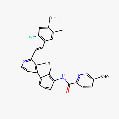 Cc1cc(C=Cc2nccc(-c3cccc(NC(=O)c4ccc(C=O)cn4)c3C)c2C#N)c(F)cc1C=O